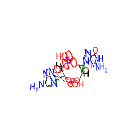 C[C@]1(F)C2OP(=O)(O)OC[C@H]3OC(n4cnc5c(=O)[nH]c(N)nc54)C(OP(=O)(O)OC[C@H]2OC1n1cnc2c(N)ccnc21)C3F